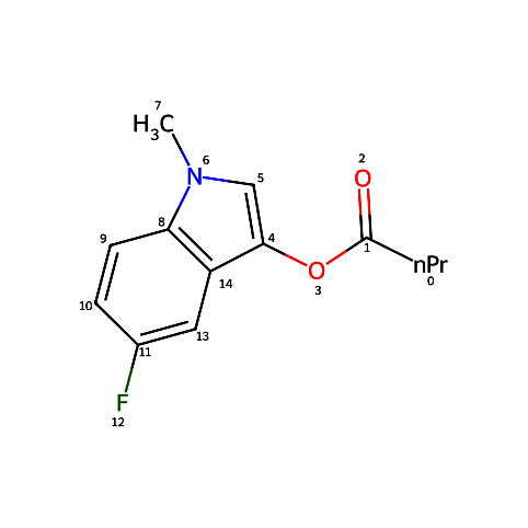 CCCC(=O)Oc1cn(C)c2ccc(F)cc12